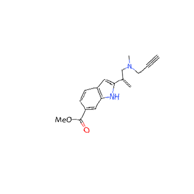 C#CCN(C)CC(=C)c1cc2ccc(C(=O)OC)cc2[nH]1